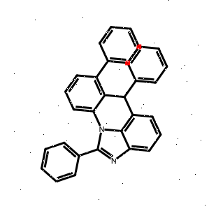 c1ccc(-c2cccc3c2C(c2ccccc2)c2cccc4nc(-c5ccccc5)n-3c24)cc1